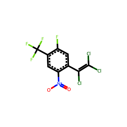 O=[N+]([O-])c1cc(C(F)(F)F)c(F)cc1C(Cl)=C(Cl)Cl